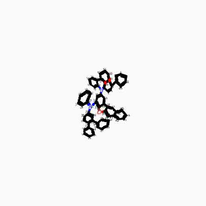 c1ccc(-c2ccc(N(c3cc(N(c4ccccc4)c4ccc(-c5ccccc5)c(-c5ccccc5)c4)c4oc5cc6ccccc6cc5c4c3)c3ccccc3-c3ccccc3)cc2)cc1